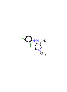 C[C@H]1CN(C)CC[C@H]1Nc1ccc(Cl)cc1F